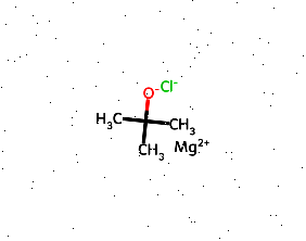 CC(C)(C)[O-].[Cl-].[Mg+2]